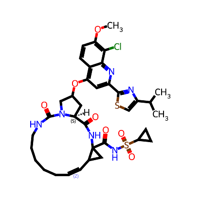 COc1ccc2c(OC3C[C@H]4C(=O)NC5(C(=O)NS(=O)(=O)C6CC6)CC5/C=C\CCCCCNC(=O)N4C3)cc(-c3nc(C(C)C)cs3)nc2c1Cl